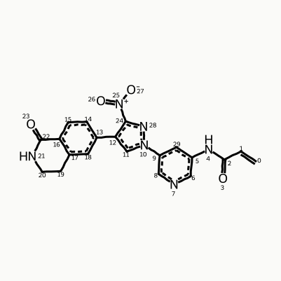 C=CC(=O)Nc1cncc(-n2cc(-c3ccc4c(c3)CCNC4=O)c([N+](=O)[O-])n2)c1